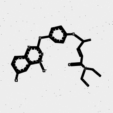 CCN(CC)C(=O)C=CC(C)Oc1ccc(Oc2nc3ccc(Cl)cc3[n+]([O-])n2)cc1